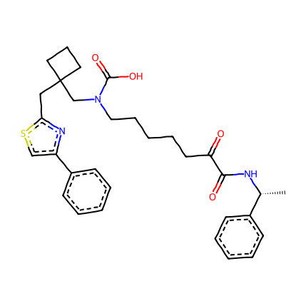 C[C@@H](NC(=O)C(=O)CCCCCN(CC1(Cc2nc(-c3ccccc3)cs2)CCC1)C(=O)O)c1ccccc1